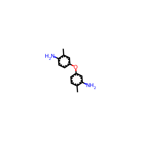 Cc1cc(Oc2ccc(C)c(N)c2)ccc1N